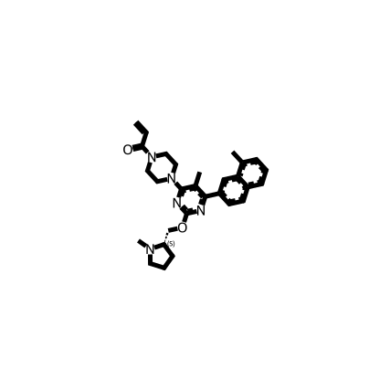 C=CC(=O)N1CCN(c2nc(OC[C@@H]3CCCN3C)nc(-c3ccc4cccc(C)c4c3)c2C)CC1